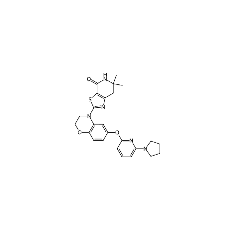 CC1(C)Cc2nc(N3CCOc4ccc(Oc5cccc(N6CCCC6)n5)cc43)sc2C(=O)N1